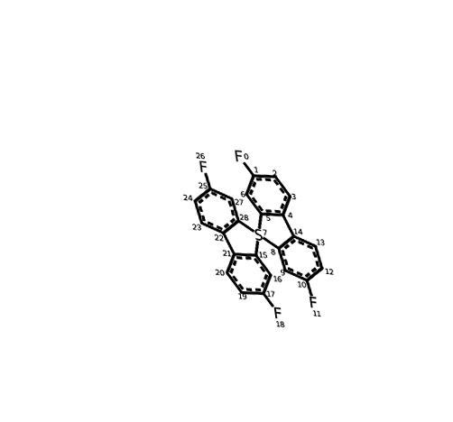 Fc1ccc2c(c1)S1(c3cc(F)ccc3-2)c2cc(F)ccc2-c2ccc(F)cc21